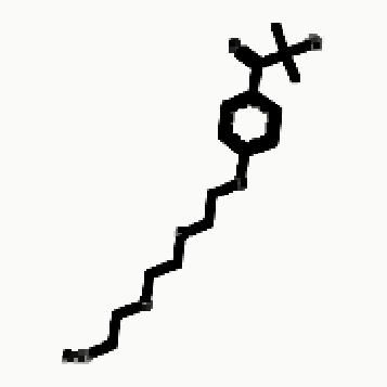 CC(=O)OCCOCCOCCOc1ccc(C(=O)C(C)(C)Br)cc1